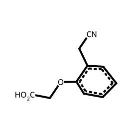 N#CCc1ccccc1OCC(=O)O